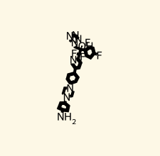 Nc1ccc(N2CCN(c3ccc(-c4ccc(C(F)(F)[C@](O)(Cn5cnnn5)c5ccc(F)cc5F)nc4)cc3)CC2)cc1